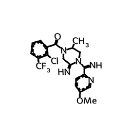 COc1ccc(C(=N)N2CC(C)N(C(=O)c3cccc(C(F)(F)F)c3Cl)CC2=N)nc1